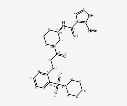 CNc1[nH]ccc1C(=N)N[C@@H]1CCCN(C(=O)CNc2ccccc2S(=O)(=O)N2CCCCC2)C1